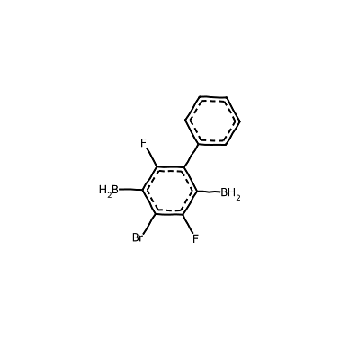 Bc1c(F)c(-c2ccccc2)c(B)c(F)c1Br